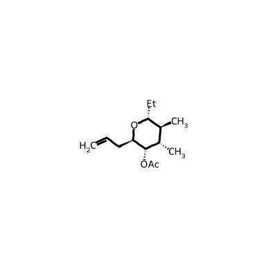 C=CC[C@H]1O[C@H](CC)[C@@H](C)[C@H](C)[C@@H]1OC(C)=O